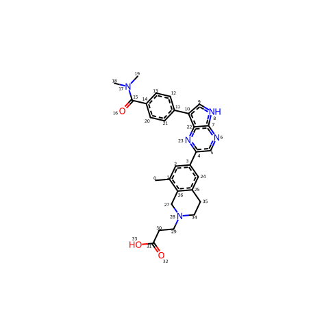 Cc1cc(-c2cnc3[nH]cc(-c4ccc(C(=O)N(C)C)cc4)c3n2)cc2c1CN(CCC(=O)O)CC2